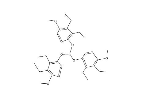 CCc1c(OC)ccc(OB(Oc2ccc(OC)c(CC)c2CC)Oc2ccc(OC)c(CC)c2CC)c1CC